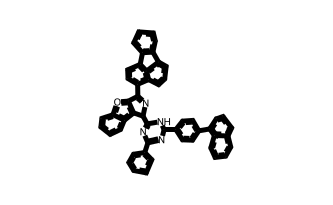 c1ccc(C2=NC(c3ccc(-c4cccc5ccccc45)cc3)NC(C3N=C(c4ccc5c6c(cccc46)-c4ccccc4-5)c4oc5ccccc5c43)=N2)cc1